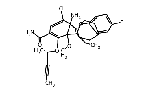 CC#C[C@H](C)OC1=C(C(N)=O)C=C(Cl)C(N)(N2CCCCC2)C1(OC)C(CC)Oc1ccc(F)cc1